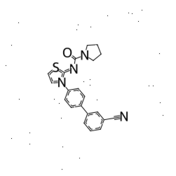 N#Cc1cccc(-c2ccc(-n3ccsc3=NC(=O)N3CCCC3)cc2)c1